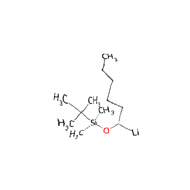 [Li][CH](CCCCC)O[Si](C)(C)C(C)(C)C